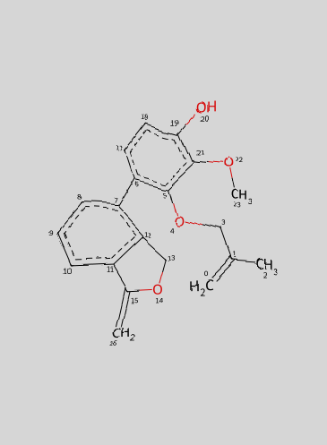 C=C(C)COc1c(-c2cccc3c2COC3=C)ccc(O)c1OC